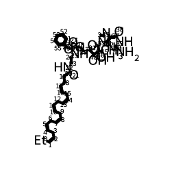 CC/C=C\C/C=C\C/C=C\C/C=C\C/C=C\C/C=C\CCC(=O)NCCNP(=O)(OC[C@H]1O[C@@H](n2cnc3c(=O)[nH]c(N)nc32)[C@](C)(O)[C@@H]1O)Oc1ccccc1